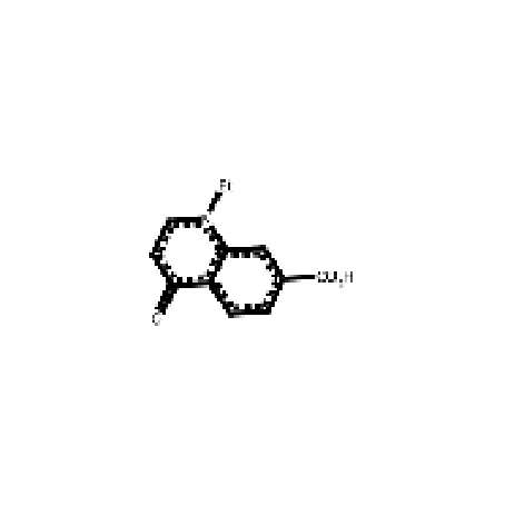 CCn1ccc(=O)c2ccc(C(=O)O)cc21